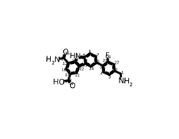 NCc1ccc(-c2ccc3[nH]c4c(C(N)=O)cc(C(=O)O)cc4c3c2)c(F)c1